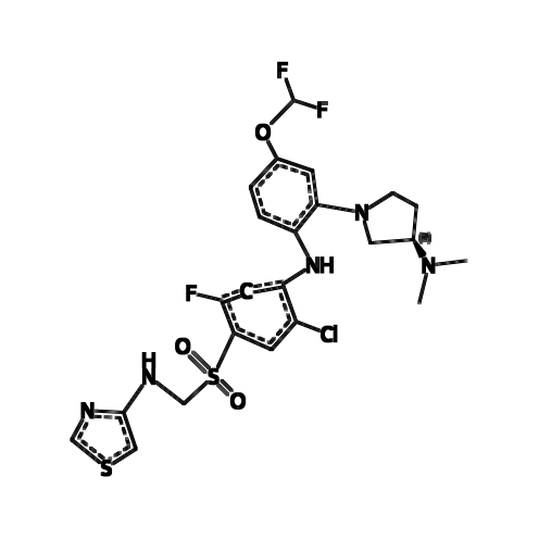 CN(C)[C@@H]1CCN(c2cc(OC(F)F)ccc2Nc2cc(F)c(S(=O)(=O)CNc3cscn3)cc2Cl)C1